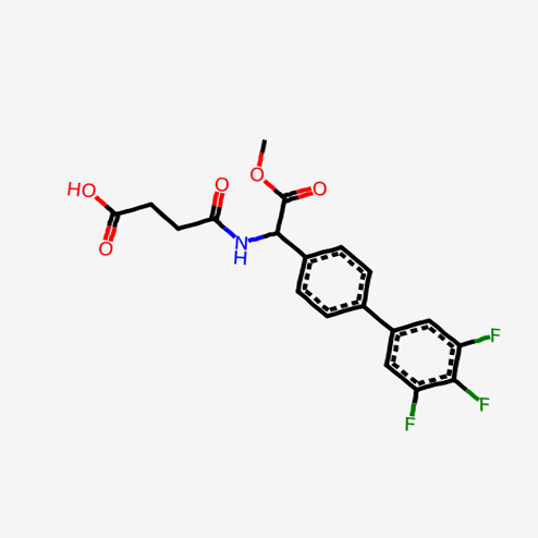 COC(=O)C(NC(=O)CCC(=O)O)c1ccc(-c2cc(F)c(F)c(F)c2)cc1